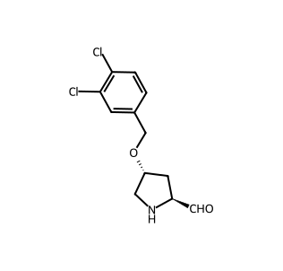 O=C[C@@H]1C[C@@H](OCc2ccc(Cl)c(Cl)c2)CN1